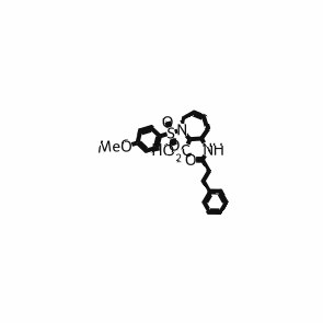 COc1ccc(S(=O)(=O)N2CC=CCC(NC(=O)CCc3ccccc3)C2C(=O)O)cc1